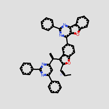 C=C(c1cc(-c2ccccc2)nc(-c2ccccc2)n1)c1c(/C=C\C)oc2ccc(-c3nc(-c4ccccc4)nc4c3oc3ccccc34)cc12